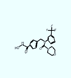 O=C(NO)c1ccc(CN(C(=O)N2CCOCC2)c2cccc(C(F)(F)F)c2)cc1